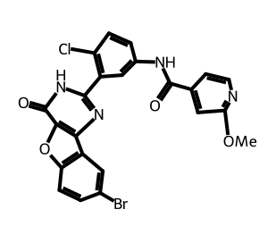 COc1cc(C(=O)Nc2ccc(Cl)c(-c3nc4c(oc5ccc(Br)cc54)c(=O)[nH]3)c2)ccn1